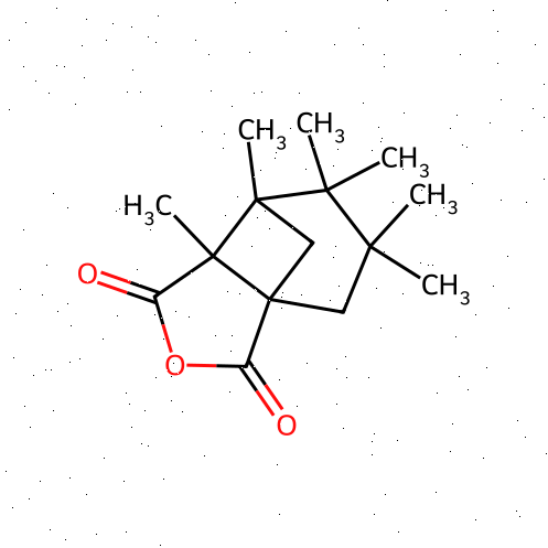 CC1(C)CC23CC(C)(C1(C)C)C2(C)C(=O)OC3=O